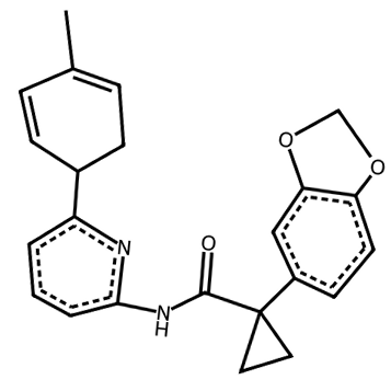 CC1=CCC(c2cccc(NC(=O)C3(c4ccc5c(c4)OCO5)CC3)n2)C=C1